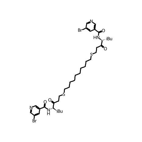 CC[C@H](C)[C@H](NC(=O)c1cncc(Br)c1)C(=O)CCSCCCCCCCCCCSCCC(=O)[C@@H](NC(=O)c1cncc(Br)c1)[C@@H](C)CC